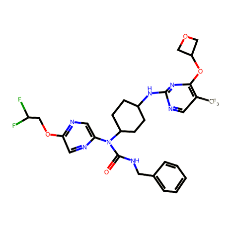 O=C(NCc1ccccc1)N(c1cnc(OCC(F)F)cn1)C1CCC(Nc2ncc(C(F)(F)F)c(OC3COC3)n2)CC1